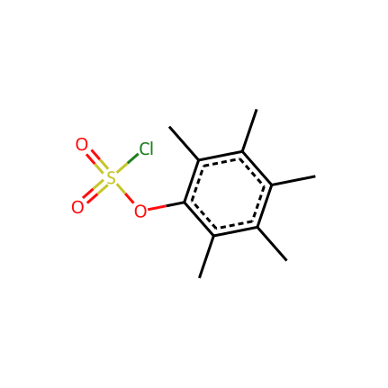 Cc1c(C)c(C)c(OS(=O)(=O)Cl)c(C)c1C